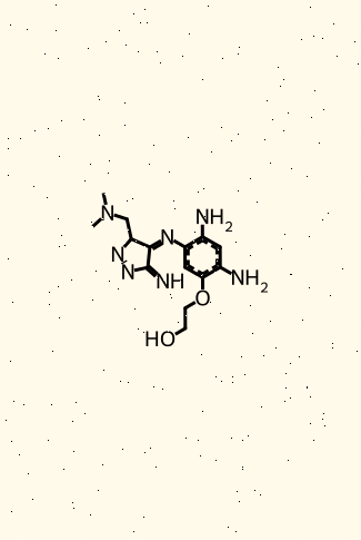 CN(C)CC1N=NC(=N)C1=Nc1cc(OCCO)c(N)cc1N